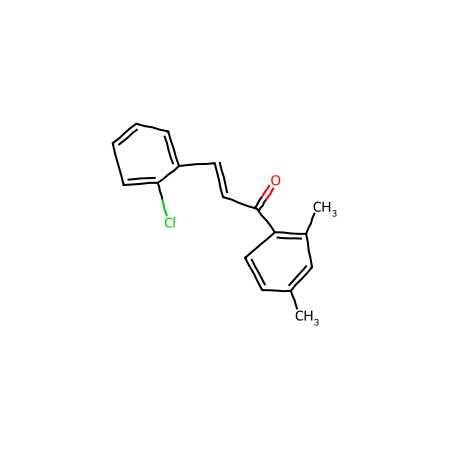 Cc1ccc(C(=O)C=Cc2ccccc2Cl)c(C)c1